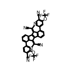 N#CC(C#N)=C1C2=C(C(=C(C#N)C#N)c3c2cccc3-c2ccc(C#N)c(OC(F)(F)F)c2)c2cccc(-c3ccc(C#N)c(OC(F)(F)F)c3)c21